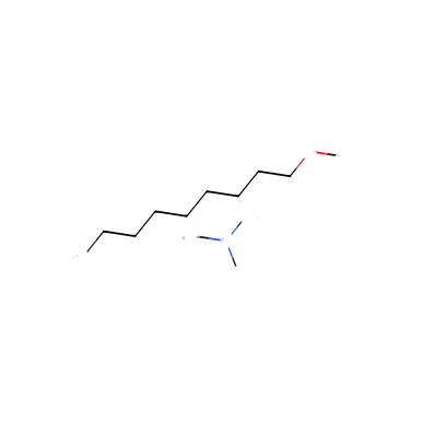 CCCCCCCCCCCCCCCCCCOC=O.CCCCN(CCCC)CCCC